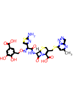 Cc1cc(SCC2=C(C(=O)O)N3C(=O)[C@@H](NC(=O)C(=NOCc4cc(C(=O)O)cc(O)c4O)c4csc(N)n4)[C@H]3SC2)n2nncc2n1